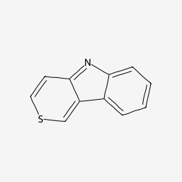 c1ccc2c3csccc-3nc2c1